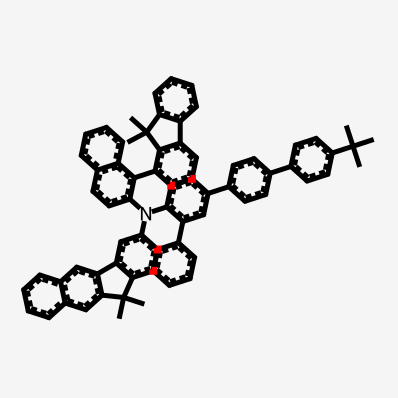 CC(C)(C)c1ccc(-c2ccc(-c3ccc(N(c4ccc5c(c4)-c4cc6ccccc6cc4C5(C)C)c4ccc5ccccc5c4-c4cccc5c4C(C)(C)c4ccccc4-5)c(-c4ccccc4)c3)cc2)cc1